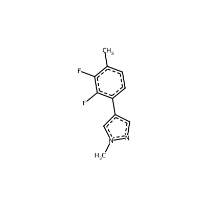 Cc1ccc(-c2cnn(C)c2)c(F)c1F